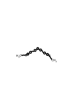 CCCCCCOc1ccc(C2CCC(CCC3CCC(c4cccc(C5CCC(CCC6CCC(c7ccc(OCCCCCC)cc7)CC6)CC5)c4)CC3)CC2)cc1